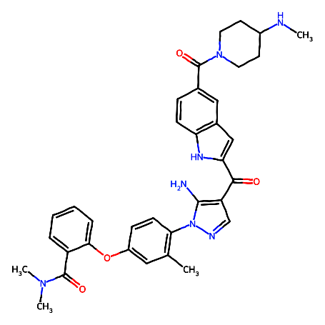 CNC1CCN(C(=O)c2ccc3[nH]c(C(=O)c4cnn(-c5ccc(Oc6ccccc6C(=O)N(C)C)cc5C)c4N)cc3c2)CC1